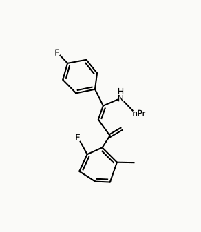 C=C(/C=C(\NCCC)c1ccc(F)cc1)c1c(C)cccc1F